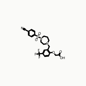 N#Cc1ccc(S(=O)(=O)N2CCCN(Cc3cc(C(F)(F)F)ccc3OCC(=O)O)CC2)cc1